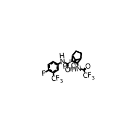 C=C1C2CCC1[C@H](C(=O)Nc1ccc(F)c(C(F)(F)F)c1)[C@@H]2NC(=O)C(F)(F)F